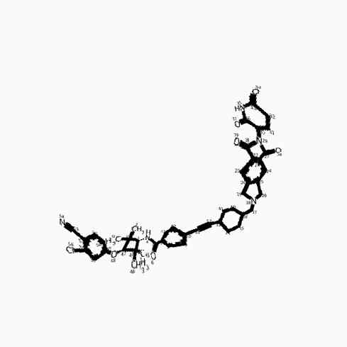 CC1(C)[C@H](NC(=O)c2ccc(C#CC3CCC(CN4Cc5cc6c(cc5C4)C(=O)N(C4CCC(=O)NC4=O)C6=O)CC3)cc2)C(C)(C)[C@H]1Oc1ccc(C#N)c(Cl)c1